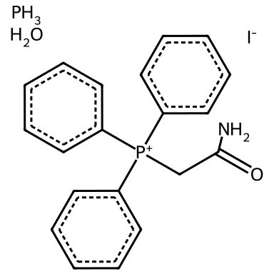 NC(=O)C[P+](c1ccccc1)(c1ccccc1)c1ccccc1.O.P.[I-]